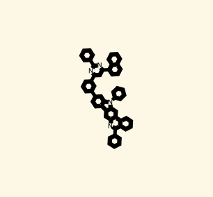 c1ccc(-c2nc(-c3cccc(-c4ccc5c6cc7nc(-c8ccccc8)c8ccccc8c7cc6n(-c6ccccc6)c5c4)c3)cc(-c3cccc4ccccc34)n2)cc1